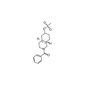 CS(=O)(=O)OC1CC[C@@H]2CN(C(=O)c3ccccc3)CC[C@H]2C1